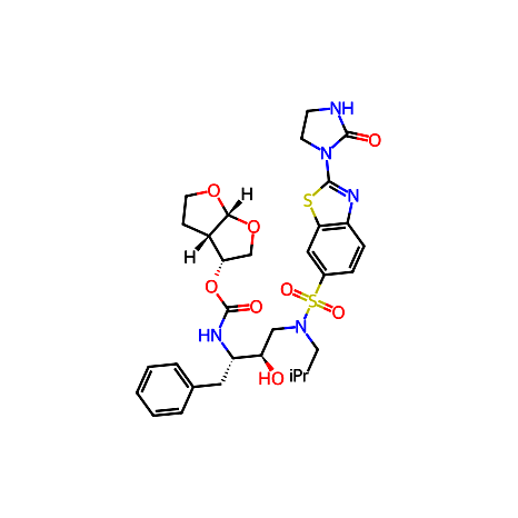 CC(C)CN(C[C@@H](O)[C@H](Cc1ccccc1)NC(=O)O[C@H]1CO[C@H]2OCC[C@H]21)S(=O)(=O)c1ccc2nc(N3CCNC3=O)sc2c1